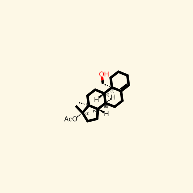 CC(=O)O[C@@]1(C)CC[C@H]2[C@@H]3CCC4=CCCC[C@]4(CO)[C@H]3CC[C@@]21C